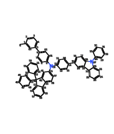 Cc1cccc(-c2ccc(N(c3ccc(-c4ccc5c(c4)c4ccccc4n5-c4ccccc4)cc3)c3ccc4c(c3)C(c3ccccc3)(c3ccccc3)c3ccccc3-4)cc2)c1